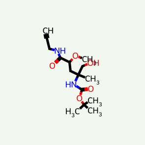 C#CCNC(=O)C(CC(C)(CO)NC(=O)OC(C)(C)C)OC